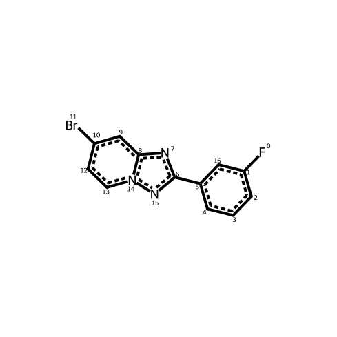 Fc1cccc(-c2nc3cc(Br)ccn3n2)c1